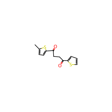 Cc1ccc(C(=O)CCC(=O)c2cccs2)s1